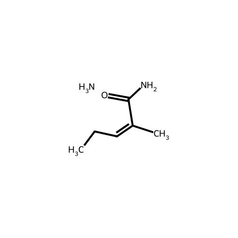 CCC=C(C)C(N)=O.N